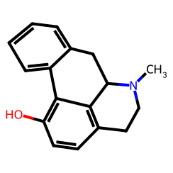 CN1CCc2ccc(O)c3c2C1Cc1ccccc1-3